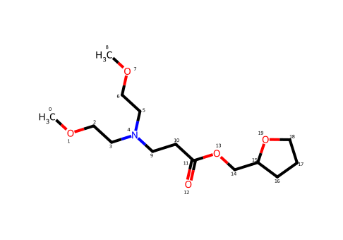 COCCN(CCOC)CCC(=O)OCC1CCCO1